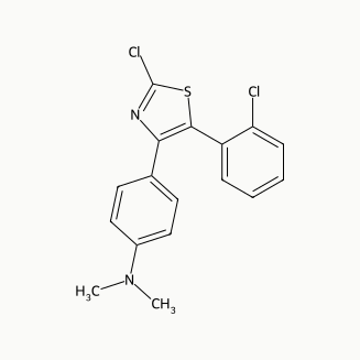 CN(C)c1ccc(-c2nc(Cl)sc2-c2ccccc2Cl)cc1